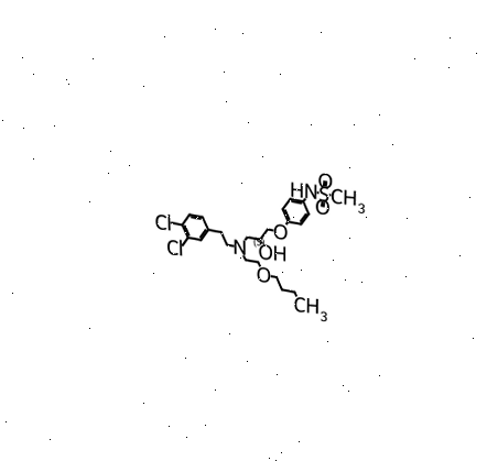 CCCCOCCN(CCc1ccc(Cl)c(Cl)c1)C[C@H](O)COc1ccc(NS(C)(=O)=O)cc1